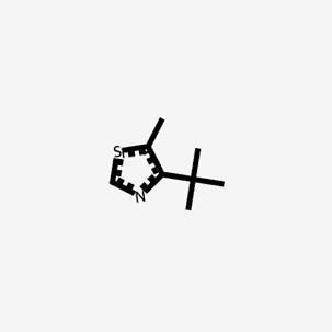 Cc1scnc1C(C)(C)C